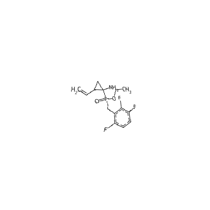 C=CC1CC1(N)P(=O)(Cc1c(F)ccc(F)c1F)OCC